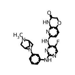 CN1CC2CC1CN2c1cccc(Nc2ncc(F)c(Nc3ccc4c(n3)NC(=O)CO4)n2)c1